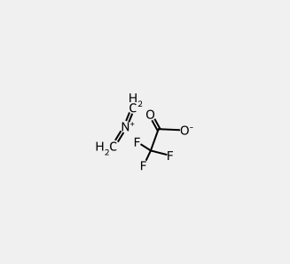 C=[N+]=C.O=C([O-])C(F)(F)F